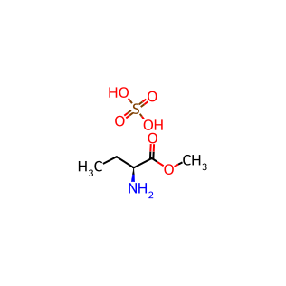 CC[C@H](N)C(=O)OC.O=S(=O)(O)O